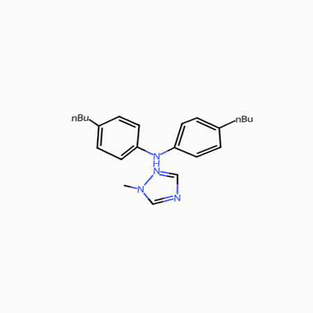 CCCCc1ccc(Nc2ccc(CCCC)cc2)cc1.Cn1cncn1